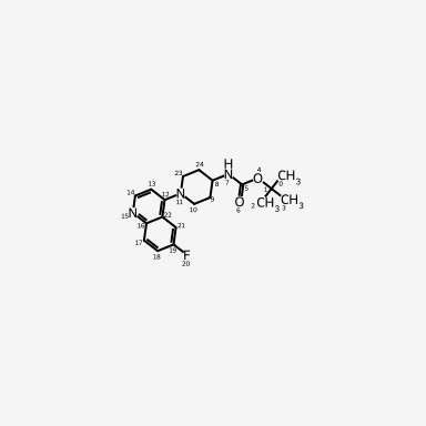 CC(C)(C)OC(=O)NC1CCN(c2ccnc3ccc(F)cc23)CC1